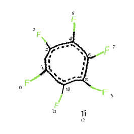 Fc1c(F)c(F)c(F)c(F)c1F.[Ti]